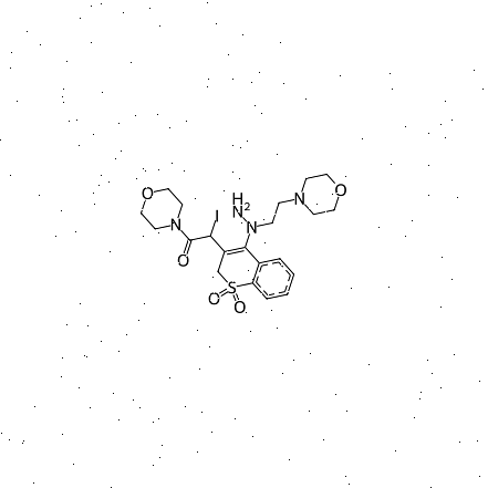 NN(CCN1CCOCC1)C1=C(C(I)C(=O)N2CCOCC2)CS(=O)(=O)c2ccccc21